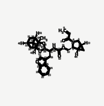 C=CC(=O)N1C[C@@H]2C[C@@H]2[C@@H]1COC(=O)N[C@@H](Cc1coc2ccccc12)B1O[C@@H]2C[C@@H]3C[C@@H](C3(C)C)[C@]2(C)O1